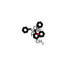 Cc1ccc(C(C)([SiH2]Cc2ccccc2)[SiH](c2ccccc2)c2ccccc2)cc1